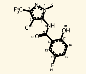 Cn1nc(C(F)(F)F)c(Cl)c1NC(=O)c1cc(F)ccc1O